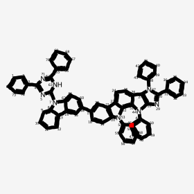 c1ccc(C2=NC(n3c4ccccc4c4cc(-c5ccc6c(c5)c5ccc7c8c(nc(-c9ccccc9)n8-c8ccccc8)n(-c8ccccc8)c7c5n6-c5ccccc5)ccc43)NC(c3ccccc3)=N2)cc1